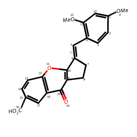 COc1ccc(/C=C2\CCc3c2oc2ccc(C(=O)O)cc2c3=O)c(OC)c1